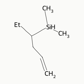 C=CCC(CC)[SiH](C)C